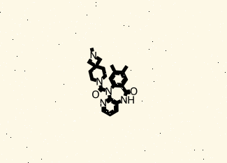 Cc1cc2c(cc1C)N(C(=O)N1CCC3(CC1)CN(C)C3)c1ncccc1NC2=O